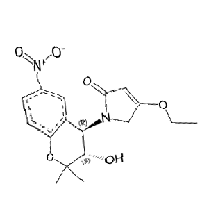 CCOC1=CC(=O)N([C@@H]2c3cc([N+](=O)[O-])ccc3OC(C)(C)[C@H]2O)C1